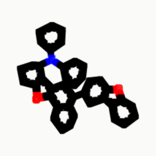 c1ccc(N(c2ccccc2)c2cccc3oc4c5ccccc5c(-c5ccc6oc7ccccc7c6c5)cc4c23)cc1